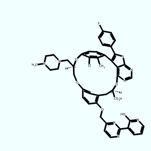 Cc1c2ccc(c1Cl)O[C@H](CN1CCN(C)CC1)COc1ccc(OCc3ccnc(-c4cccnc4O)n3)c(c1)C[C@H](C(=O)O)Oc1ncnc3sc(-c4ccc(F)cc4)c-2c13